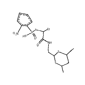 CCC(SP(=O)(S)c1ccccc1[N+](=O)[O-])C(=O)NCC1SC(C)CC(C)S1